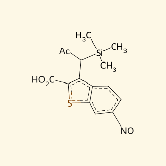 CC(=O)C(c1c(C(=O)O)sc2cc(N=O)ccc12)[Si](C)(C)C